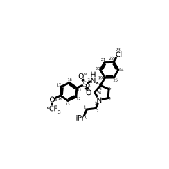 CC(C)CCN1CC[C@](NS(=O)(=O)c2ccc(OC(F)(F)F)cc2)(c2ccc(Cl)cc2)C1